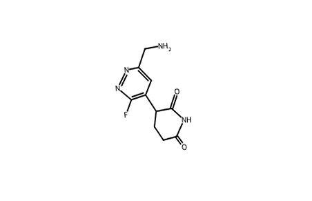 NCc1cc(C2CCC(=O)NC2=O)c(F)nn1